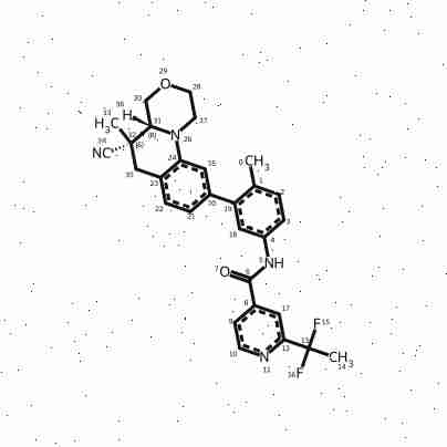 Cc1ccc(NC(=O)c2ccnc(C(C)(F)F)c2)cc1-c1ccc2c(c1)N1CCOC[C@H]1[C@@](C)(C#N)C2